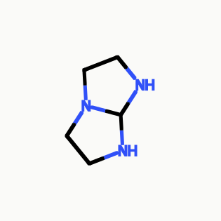 C1CN2CCNC2N1